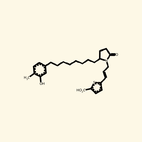 Cc1ccc(CCCCCCCCC2CCC(=O)N2CC=Cc2ccc(C(=O)O)s2)cc1O